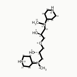 CN(C[C@H](O)COC[C@@H](O)CN(C)C1CCNCC1)C1CCNCC1